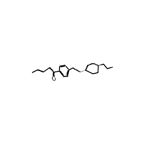 CCCCC(=O)c1ccc(CC[C@H]2CC[C@H](CCC)CC2)cc1